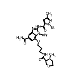 CCCn1c(NC(=O)c2cc(C)nn2CC)nc2cc(C(N)=O)cc(OCCCNC(=O)C3COCCN3C)c21